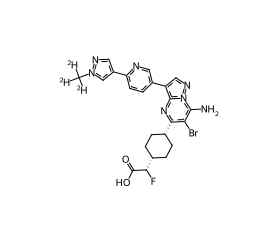 [2H]C([2H])([2H])n1cc(-c2ccc(-c3cnn4c(N)c(Br)c([C@H]5CC[C@@H](C(F)C(=O)O)CC5)nc34)cn2)cn1